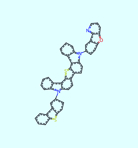 c1cnc2c(c1)oc1ccc(-n3c4ccccc4c4c5sc6c(ccc7c6c6ccccc6n7-c6ccc7sc8ccccc8c7c6)c5ccc43)cc12